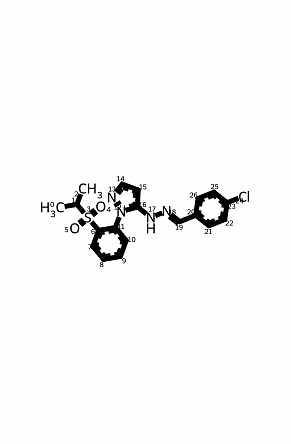 CC(C)S(=O)(=O)c1ccccc1-n1nccc1N/N=C/c1ccc(Cl)cc1